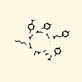 C[C@@H](O)[C@@H]1NC(=O)[C@H](CCCCCN)NC(=O)[C@@H](Cc2ccc(C(N)=O)cc2)NC(=O)[C@H](Cc2ccc(O)cc2)NC(=O)[C@H](NC(=O)[C@@H](N)Cc2ccc(Cl)cc2)CSSC[C@@H](C(=O)N(C)[C@H](Cc2ccc(O)cc2)C(N)=O)NC1=O